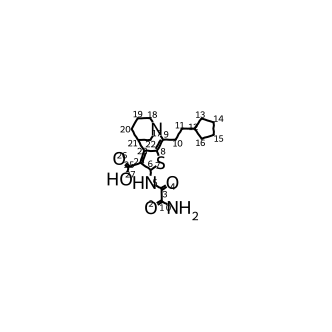 NC(=O)C(=O)NC1SC2=C(CCC3CCCC3)N3CCCC(C3)C2=C1C(=O)O